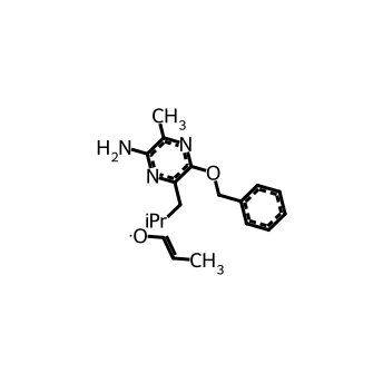 CC=C[O].Cc1nc(OCc2ccccc2)c(CC(C)C)nc1N